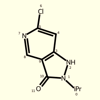 CC(C)n1[nH]c2cc(Cl)ncc2c1=O